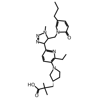 CCCc1ccc(=O)n(CC2C(c3ccc(N4CC[C@H](CC(C)(C)C(=O)O)C4)c(CC)n3)N=NN2C)c1